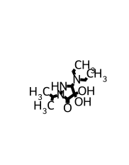 CCN(CC)C1NN(C(C)C)C(=O)C1(O)O